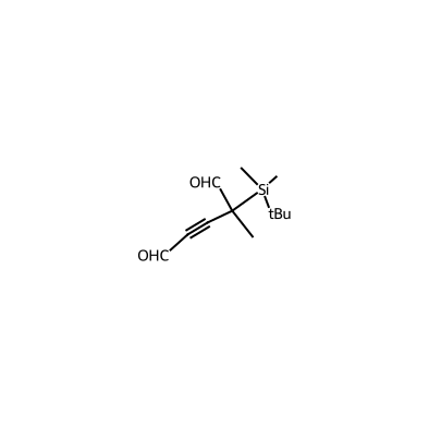 CC(C)(C)[Si](C)(C)C(C)(C#CC=O)C=O